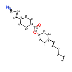 CCCCCC[C@H]1CC[C@H](OC(=O)[C@H]2CC[C@H](C=CC#N)CC2)CC1